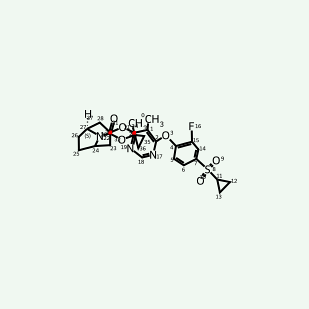 Cc1c(Oc2ccc(S(=O)(=O)C3CC3)cc2F)ncnc1OC1CC2CC[C@@H](C1)N2C(=O)OC1(C)CC1